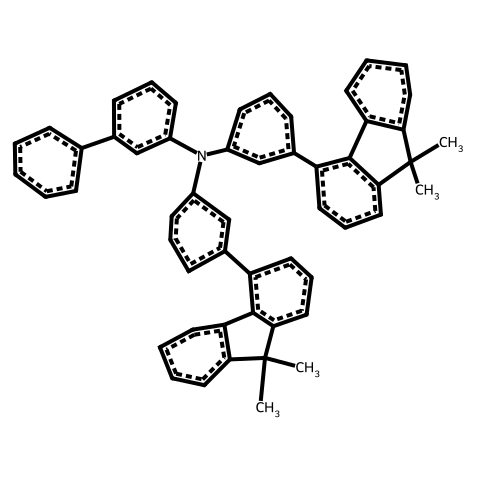 CC1(C)c2ccccc2-c2c(-c3cccc(N(c4cccc(-c5ccccc5)c4)c4cccc(-c5cccc6c5-c5ccccc5C6(C)C)c4)c3)cccc21